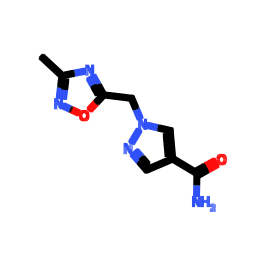 Cc1noc(Cn2cc(C(N)=O)cn2)n1